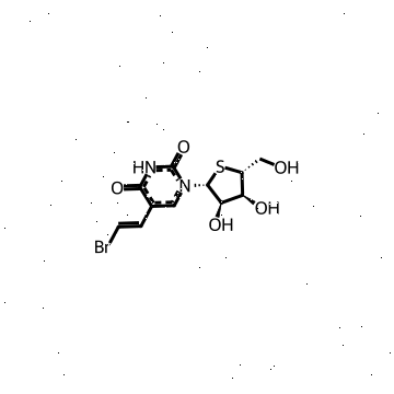 O=c1[nH]c(=O)n([C@@H]2S[C@H](CO)[C@@H](O)[C@H]2O)cc1C=CBr